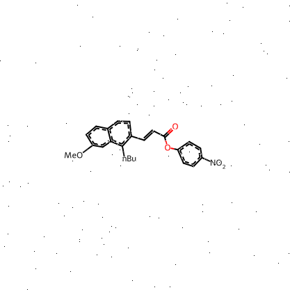 CCCCc1c(C=CC(=O)Oc2ccc([N+](=O)[O-])cc2)ccc2ccc(OC)cc12